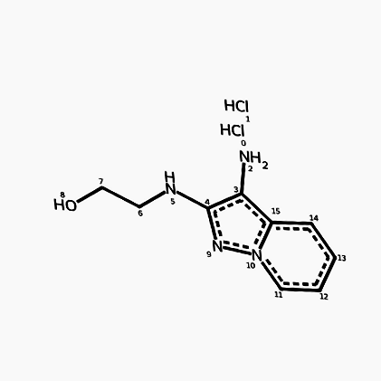 Cl.Cl.Nc1c(NCCO)nn2ccccc12